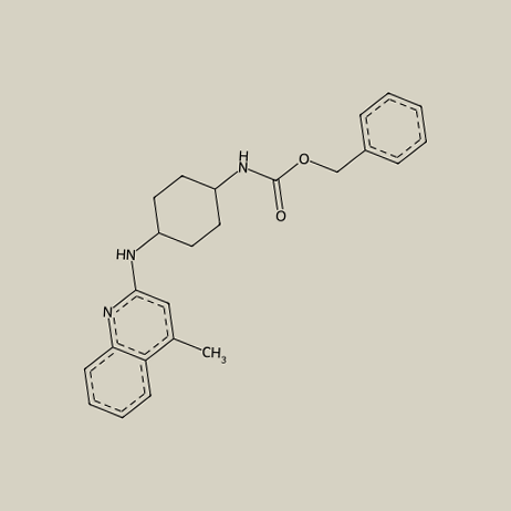 Cc1cc(NC2CCC(NC(=O)OCc3ccccc3)CC2)nc2ccccc12